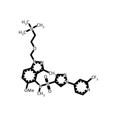 COc1ccc2c(c(C)nn2COCC[Si](C)(C)C)c1N(C)S(=O)(=O)c1cnn(-c2ccnc(C(F)(F)F)c2)c1